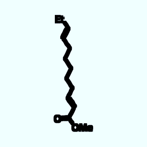 CC/C=C/CCCCC/C=C/C(=O)OC